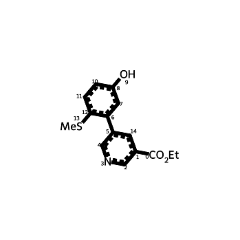 CCOC(=O)c1cncc(-c2cc(O)ccc2SC)c1